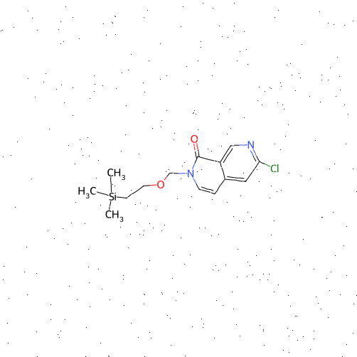 C[Si](C)(C)CCOCn1ccc2cc(Cl)ncc2c1=O